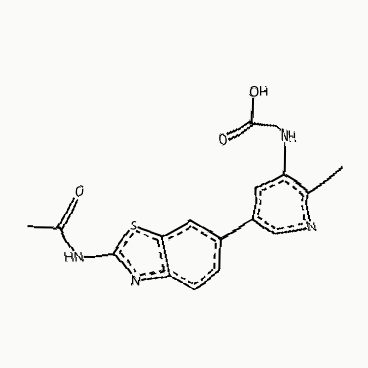 CC(=O)Nc1nc2ccc(-c3cnc(C)c(NC(=O)O)c3)cc2s1